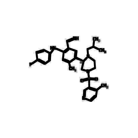 Cc1cc(Nc2ccc(F)cc2)c(C=N)cc1[C@@H]1CN(S(=O)(=O)c2cnccc2C)CCN1CC(C)C